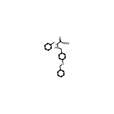 CNC(=O)[C@@H](Cc1ccccc1)NCc1ccc(OCc2ccccc2)cc1